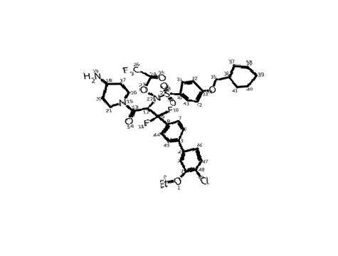 CCOc1cc(-c2ccc(C(F)(F)[C@@H](C(=O)N3CCC(N)CC3)N(OC(=O)C(F)(F)F)S(=O)(=O)c3ccc(OCC4CCCCC4)cc3)cc2)ccc1Cl